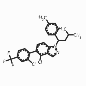 [CH2]c1ccc(C(CC(C)C)n2ncc3c(Cl)c(-c4ccc(C(F)(F)F)cc4Cl)ccc32)cc1